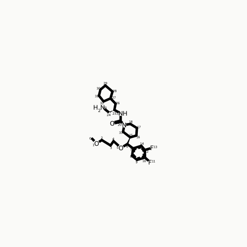 COCCCOC(c1ccc(F)c(F)c1)[C@@H]1CCCN(C(=O)N[C@H](CN)CC2CCCCC2)C1